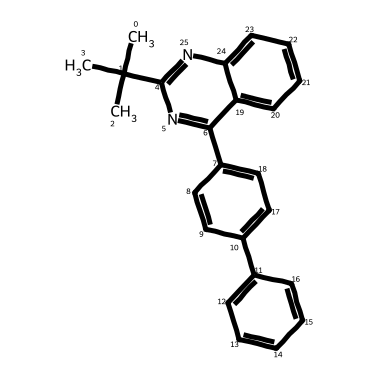 CC(C)(C)c1nc(-c2ccc(-c3ccccc3)cc2)c2ccccc2n1